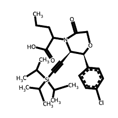 CCCC(C(=O)O)N1C(=O)CO[C@@H](c2ccc(Cl)cc2)[C@H]1C#C[Si](C(C)C)(C(C)C)C(C)C